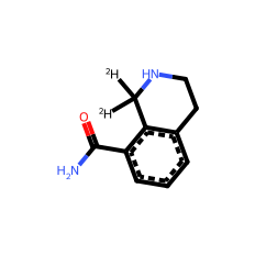 [2H]C1([2H])NCCc2cccc(C(N)=O)c21